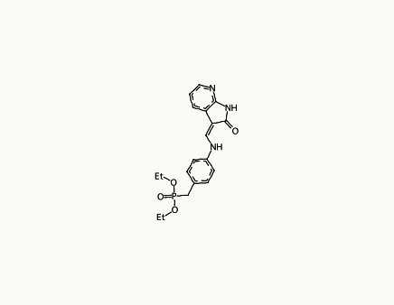 CCOP(=O)(Cc1ccc(NC=C2C(=O)Nc3ncccc32)cc1)OCC